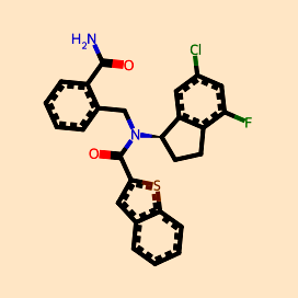 NC(=O)c1ccccc1CN(C(=O)c1cc2ccccc2s1)[C@@H]1CCc2c(F)cc(Cl)cc21